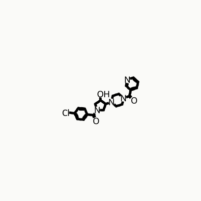 O=C(c1cccnc1)N1CCN(C2CN(C(=O)c3ccc(Cl)cc3)CC2O)CC1